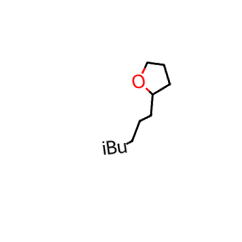 [CH2]C(CC)CCCC1CCCO1